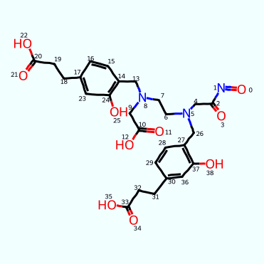 O=NC(=O)CN(CCN(CC(=O)O)Cc1ccc(CCC(=O)O)cc1O)Cc1ccc(CCC(=O)O)cc1O